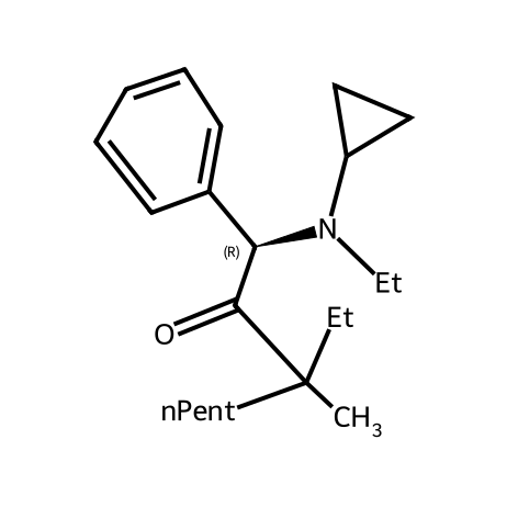 CCCCCC(C)(CC)C(=O)[C@@H](c1ccccc1)N(CC)C1CC1